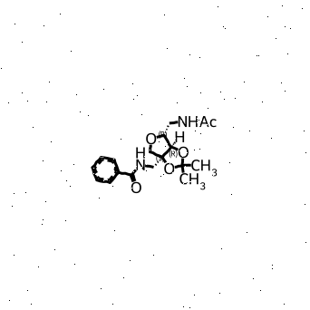 CC(=O)NC[C@H]1OC[C@]2(CNC(=O)c3ccccc3)OC(C)(C)O[C@H]12